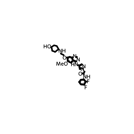 COc1cc2c(Nc3cnn(CC(=O)Nc4cccc(F)c4F)c3)ncnc2cc1OCCN[C@H]1CC[C@H](O)CC1